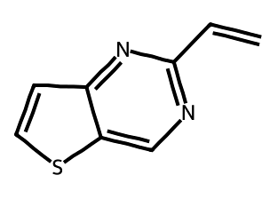 C=Cc1ncc2sccc2n1